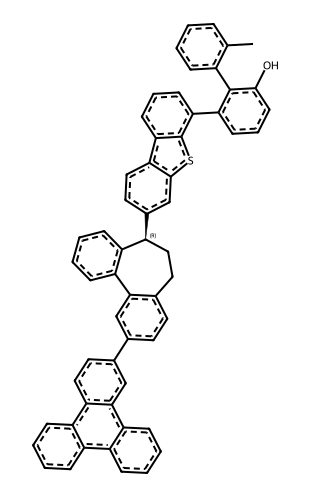 Cc1ccccc1-c1c(O)cccc1-c1cccc2c1sc1cc([C@H]3CCc4ccc(-c5ccc6c7ccccc7c7ccccc7c6c5)cc4-c4ccccc43)ccc12